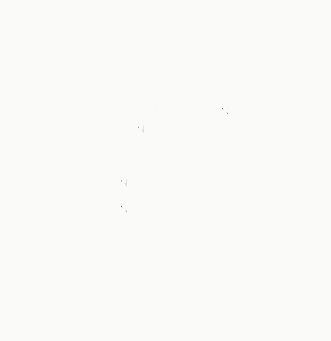 Cc1nc(-c2ccn(CCC3CCCCC3)n2)sc1C(=O)NCc1ccccc1